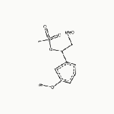 COCC(OS(C)(=O)=O)c1cccc(OC(C)C)c1